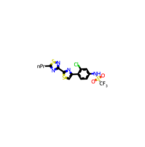 CCCc1nc(-c2nc(-c3ccc(NS(=O)(=O)C(F)(F)F)cc3Cl)cs2)ns1